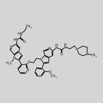 CCNC(=O)Nc1cc2cc(-c3cccnc3OCCn3c(-c4ccccc4OC)cc4cc(NC(=O)NCCN5CCN(C)CC5)ncc43)n(C)c2cn1